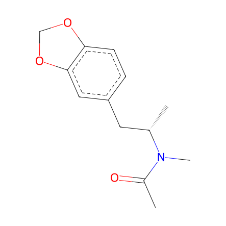 CC(=O)N(C)[C@@H](C)Cc1ccc2c(c1)OCO2